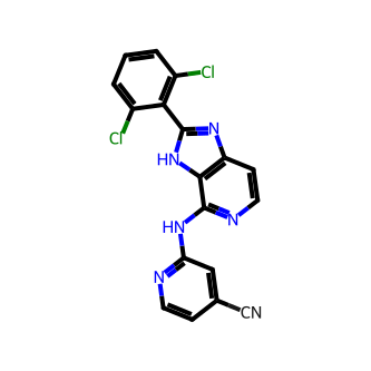 N#Cc1ccnc(Nc2nccc3nc(-c4c(Cl)cccc4Cl)[nH]c23)c1